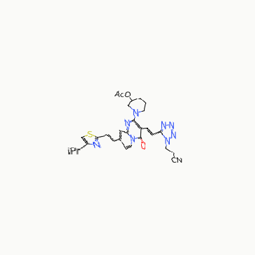 CC(=O)OC1CCCN(c2nc3cc(C=Cc4nc(C(C)C)cs4)ccn3c(=O)c2C=Cc2nnnn2CCC#N)C1